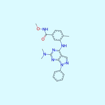 CONC(=O)c1ccc(C)c(Nc2nc(N(C)C)nc3c2cnn3-c2ccccc2)c1